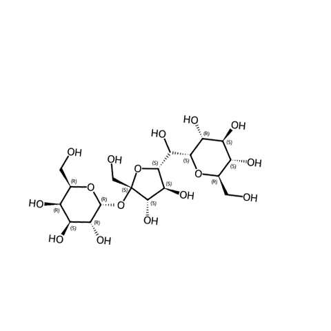 OC[C@H]1O[C@H](O[C@]2(CO)O[C@H](C(O)[C@H]3O[C@H](CO)[C@@H](O)[C@H](O)[C@H]3O)[C@@H](O)[C@@H]2O)[C@H](O)[C@@H](O)[C@H]1O